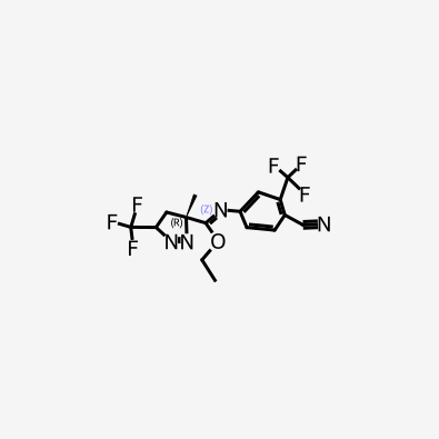 CCO/C(=N\c1ccc(C#N)c(C(F)(F)F)c1)[C@@]1(C)CC(C(F)(F)F)N=N1